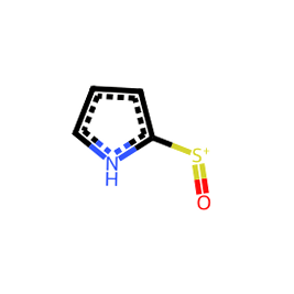 O=[S+]c1ccc[nH]1